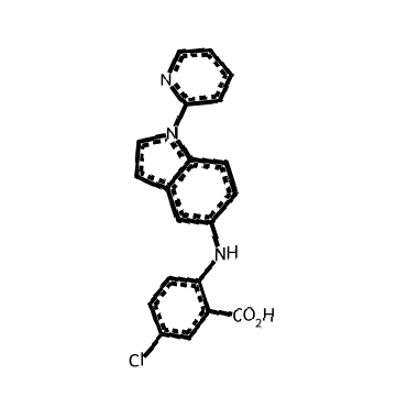 O=C(O)c1cc(Cl)ccc1Nc1ccc2c(ccn2-c2ccccn2)c1